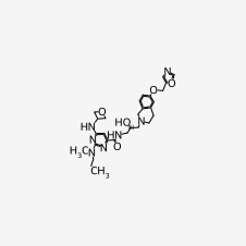 CCCN(C)c1nc(NC2COC2)cc(C(=O)NC[C@H](O)CN2CCc3cc(OCc4cnco4)ccc3C2)n1